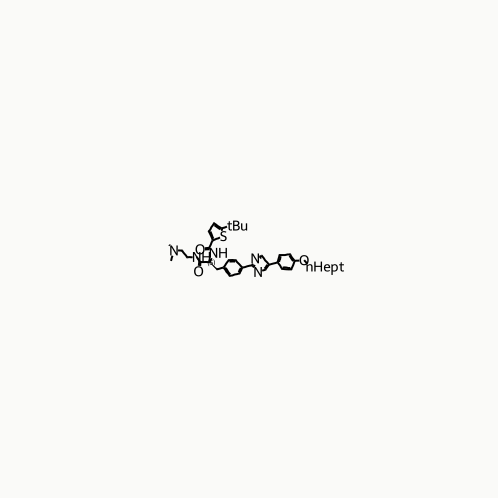 CCCCCCCOc1ccc(-c2cnc(-c3ccc(C[C@H](NC(=O)c4ccc(C(C)(C)C)s4)C(=O)NCCN(C)C)cc3)nc2)cc1